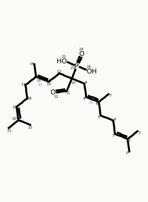 CC(C)=CCC/C(C)=C/CC(C=O)(C/C=C(\C)CCC=C(C)C)P(=O)(O)O